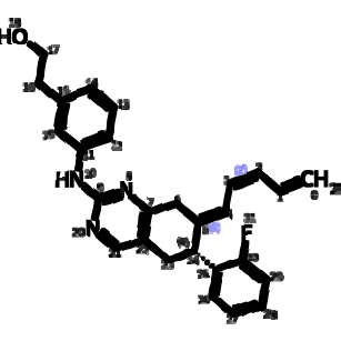 C=C/C=C\C=C1/Cc2nc(Nc3cccc(CCO)c3)ncc2C[C@H]1c1ccccc1F